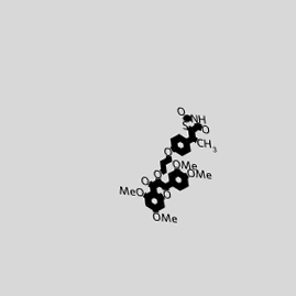 COc1cc(OC)c2c(=O)c(OCCCOc3ccc(/C(C)=C4\SC(=O)NC4=O)cc3)c(-c3ccc(OC)c(OC)c3)oc2c1